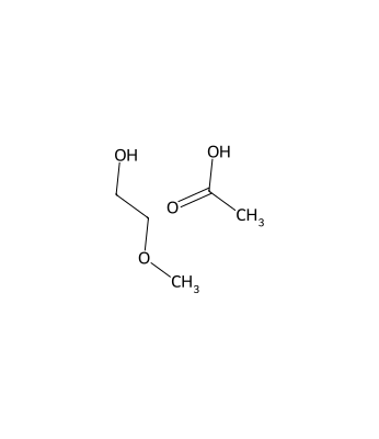 CC(=O)O.COCCO